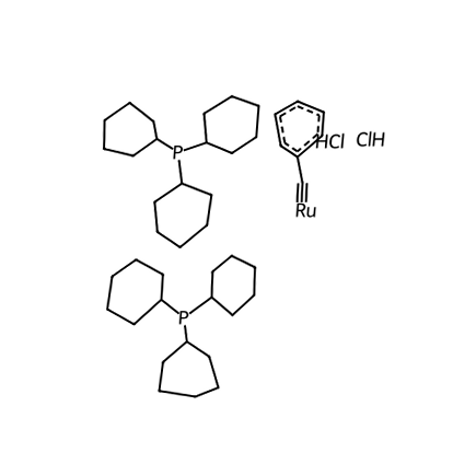 C1CCC(P(C2CCCCC2)C2CCCCC2)CC1.C1CCC(P(C2CCCCC2)C2CCCCC2)CC1.Cl.Cl.[Ru]#[C]c1ccccc1